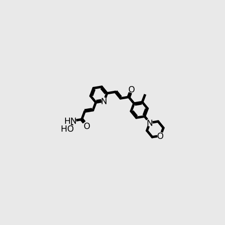 Cc1cc(N2CCOCC2)ccc1C(=O)C=Cc1cccc(C=CC(=O)NO)n1